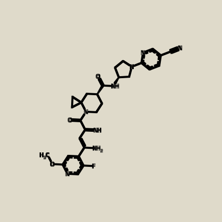 COc1cc(/C(N)=C/C(=N)C(=O)N2CC[C@H](C(=O)N[C@H]3CCN(c4ccc(C#N)cn4)C3)CC23CC3)c(F)cn1